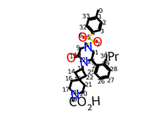 Cc1ccc(S(=O)(=O)N2CC(=O)N(C3CC4(CCN(C(=O)O)CC4)C3)C(c3ccccc3C(C)C)C2)cc1